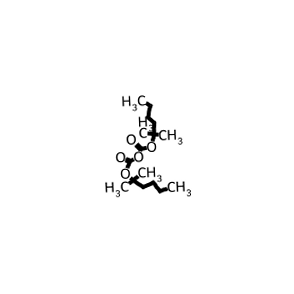 CCCCC(C)(C)OC(=O)OC(=O)OC(C)(C)CCCC